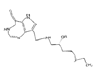 CCSCC[C@@H](O)CNCc1c[nH]c2c(=O)[nH]cnc12